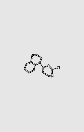 Clc1nccc(-c2cccc3ccccc23)n1